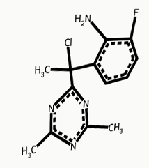 Cc1nc(C)nc(C(C)(Cl)c2cccc(F)c2N)n1